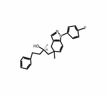 CC1(C[C@](C)(O)CCc2ccccc2)C=Cc2c(cnn2-c2ccc(F)cc2)C1